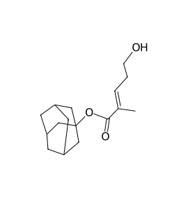 CC(=CCCO)C(=O)OC12CC3CC(CC(C3)C1)C2